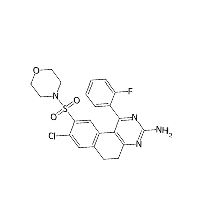 Nc1nc2c(c(-c3ccccc3F)n1)-c1cc(S(=O)(=O)N3CCOCC3)c(Cl)cc1CC2